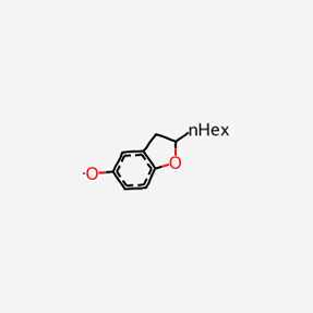 CCCCCCC1Cc2cc([O])ccc2O1